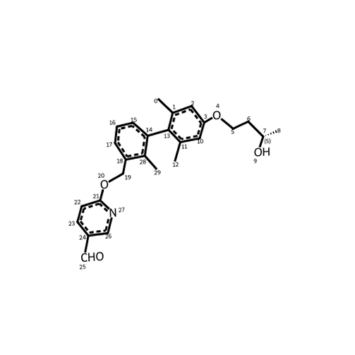 Cc1cc(OCC[C@H](C)O)cc(C)c1-c1cccc(COc2ccc(C=O)cn2)c1C